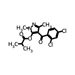 Cc1nn(C)c(OC(=O)C(C)C)c1C(=O)c1ccc(Cl)cc1Cl